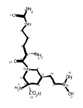 NC(=O)NCCC[C@H](N)C(=O)N1C[C@@H](CCB(O)O)C[C@](N)(C(=O)O)C1